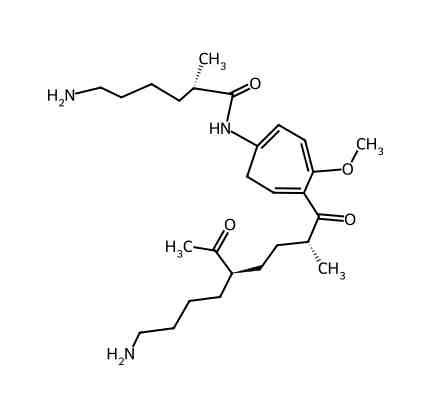 COC1=CC=C(NC(=O)[C@@H](C)CCCCN)CC=C1C(=O)[C@H](C)CC[C@@H](CCCCN)C(C)=O